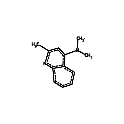 [CH2]N(C)c1cc(C)nc2ccccc12